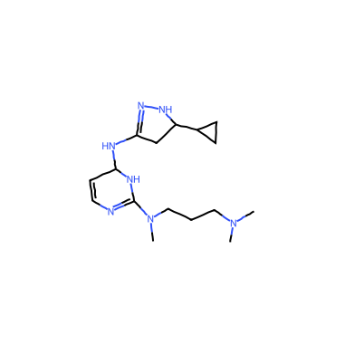 CN(C)CCCN(C)C1=NC=CC(NC2=NNC(C3CC3)C2)N1